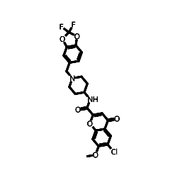 COc1cc2oc(C(=O)NC3CCN(Cc4ccc5c(c4)OC(F)(F)O5)CC3)cc(=O)c2cc1Cl